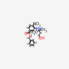 CC(C)(CCO)Nc1cc(C(=O)OCc2ccccc2)ccc1[N+](=O)[O-]